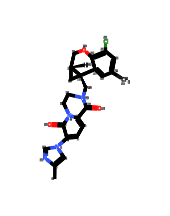 Cc1cn(-c2ccc3n(c2=O)CCN(C[C@@]24C[C@@H]2COc2c(Cl)cc(C(F)(F)F)cc24)C3=O)cn1